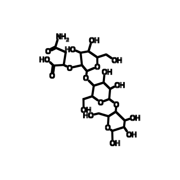 NC(=O)CC(OC1C(OC2C(CO)OC(OC3C(CO)OC(O)C(O)C3O)C(O)C2O)OC(CO)C(O)C1O)C(=O)O